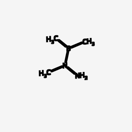 CB(C)N(C)N